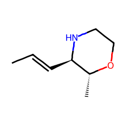 C/C=C/[C@H]1NCCO[C@@H]1C